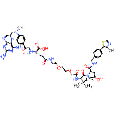 Cc1ncsc1-c1ccc(CNC(=O)C2C[C@@H](O)CN2C(=O)C(NC(=O)COCCOCCNC(=O)CC[C@H](NCC(=O)c2ccc(N(C)Cc3cnc4nc(N)nc(N)c4n3)cc2)C(=O)O)C(C)(C)C)cc1